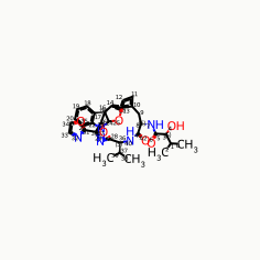 CC(C)[C@H](O)C(=O)N[C@H]1Cc2ccc3c(c2)[C@@]2(c4ccccc4NC2O3)c2oc(nc2-c2ncco2)[C@H](C(C)C)NC1=O